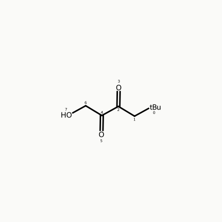 CC(C)(C)CC(=O)C(=O)CO